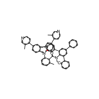 Cc1cnccc1-c1ccc2c(c1)c1cc(-c3ccncc3C)ccc1n2-c1cccc(C)c1C(=O)N(C=O)c1c(-c2ccccc2)cc(-c2ccccc2)cc1-c1ccccc1